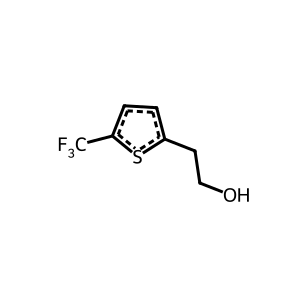 OCCc1ccc(C(F)(F)F)s1